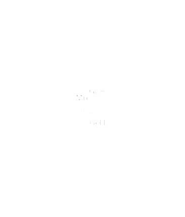 [Cu].[GaH3].[GeH4].[Mn]